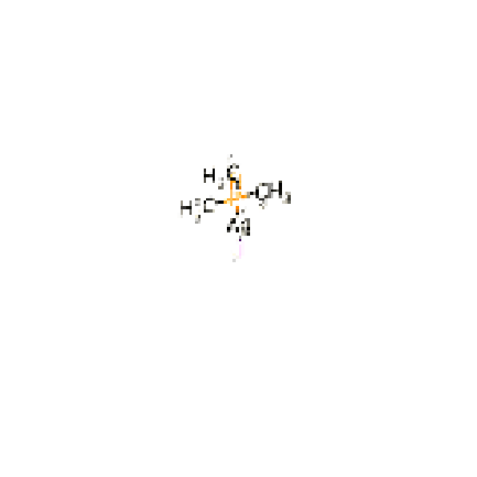 C[PH](C)(C)[Ag][I]